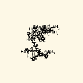 C=CCC[C@H](NC(=O)CC1C[C@@H]1CC(=O)CCN(CCNC(=O)CC[C@H](N)C(=O)O)C(=O)n1nc(/C=C/c2ccccn2)c2ccc(Sc3ccccc3C(=O)NC)cc21)C(=O)N[C@@H](CCNC(=O)[C@@H](C)[C@@H](C)O)C(=O)N[C@@H](CCC=C)C(=O)N[C@H](Cc1ccccc1)C(=O)C(C)[C@@H](CC(C)C)C(=O)C1([C@@H](CCN)C(=O)N[C@@H](CCN)C(=O)C=C)C=C1